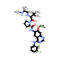 CN[C@@H](C)CN[C@H](C(=O)N1CCC[C@H]1C(=O)Nc1cc2c(Nc3cccc(F)c3F)ncnc2cc1OC)C(C)(C)C.Cl